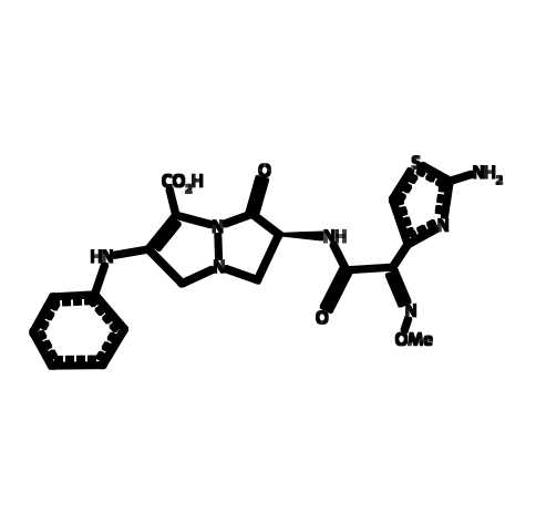 CO/N=C(\C(=O)N[C@H]1CN2CC(Nc3ccccc3)=C(C(=O)O)N2C1=O)c1csc(N)n1